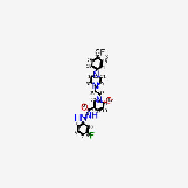 O=C(NNc1cccc(F)c1)c1ccc(=O)n(CCN2CCN(c3ccc(C(F)(F)F)cc3)CC2)c1